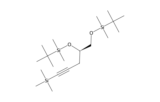 CC(C)(C)[Si](C)(C)OC[C@@H](CC#C[Si](C)(C)C)O[Si](C)(C)C(C)(C)C